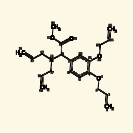 C=CCOc1ccc(C(C(=O)OC)N(CC=C)CC=C)cc1OCC=C